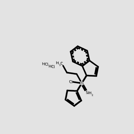 CC[CH2][Ti](=[SiH2])([Cl])([C]1=CC=CC1)[CH]1C=Cc2ccccc21.Cl.Cl